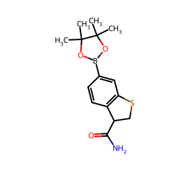 CC1(C)OB(c2ccc3c(c2)SCC3C(N)=O)OC1(C)C